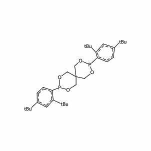 CC(C)(C)c1ccc(P2OCC3(CO2)COP(c2ccc(C(C)(C)C)cc2C(C)(C)C)OC3)c(C(C)(C)C)c1